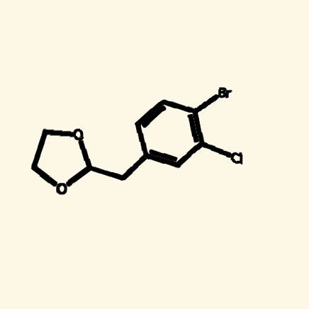 Clc1cc(CC2OCCO2)ccc1Br